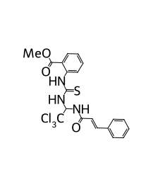 COC(=O)c1ccccc1NC(=S)NC(NC(=O)C=Cc1ccccc1)C(Cl)(Cl)Cl